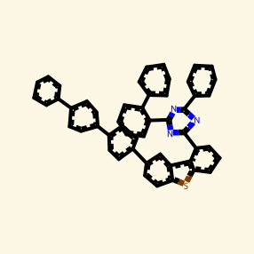 c1ccc(-c2ccc(-c3ccc(-c4ccc5sc6cccc(-c7nc(-c8ccccc8)nc(-c8ccccc8-c8ccccc8)n7)c6c5c4)cc3)cc2)cc1